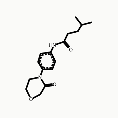 CC(C)CCC(=O)Nc1ccc(N2CCOCC2=O)cc1